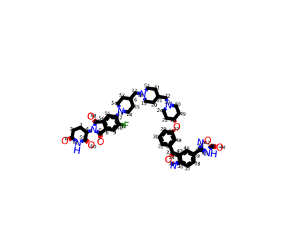 O=C1CCC(N2C(=O)c3cc(F)c(N4CCC(CN5CCC(CN6CCC(Oc7cccc(-c8onc9ccc(-c%10noc(=O)[nH]%10)cc89)c7)CC6)CC5)CC4)cc3C2=O)C(=O)N1